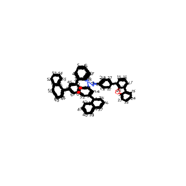 c1cc(-c2ccccc2N(c2ccc(-c3cccc4c3oc3ccccc34)cc2)c2cccc(-c3cccc4ccccc34)c2)cc(-c2cccc3ccccc23)c1